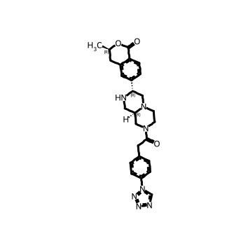 C[C@@H]1Cc2cc([C@@H]3CN4CCN(C(=O)Cc5ccc(-n6cnnn6)cc5)C[C@H]4CN3)ccc2C(=O)O1